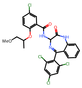 COCC(C)Oc1ccc(Cl)cc1C(=O)NC1N=C(c2c(Cl)cc(Cl)cc2Cl)c2ccccc2NC1=O